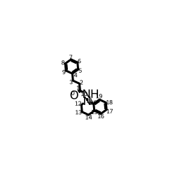 O=C(CCc1ccccc1)NN1CCCc2ccccc21